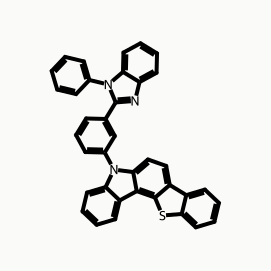 c1ccc(-n2c(-c3cccc(-n4c5ccccc5c5c6sc7ccccc7c6ccc54)c3)nc3ccccc32)cc1